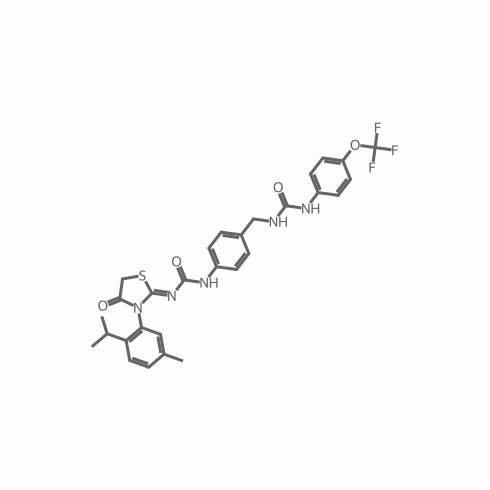 Cc1ccc(C(C)C)c(N2C(=O)CS/C2=N\C(=O)Nc2ccc(CNC(=O)Nc3ccc(OC(F)(F)F)cc3)cc2)c1